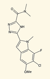 COc1cc2cc(-c3nnc(C(=O)N(C)C)[nH]3)n(C)c2c(F)c1Cl